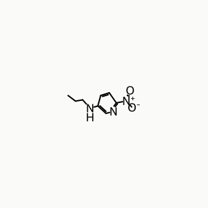 CCCNc1ccc([N+](=O)[O-])nc1